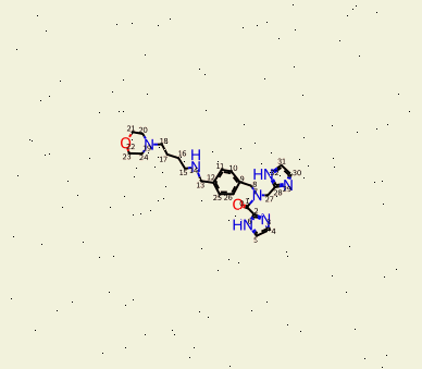 O=C(c1ncc[nH]1)N(Cc1ccc(CNCCCCN2CCOCC2)cc1)Cc1ncc[nH]1